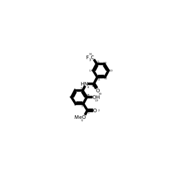 COC(=O)c1cccc(NC(=O)c2cccc(C(F)(F)F)c2)c1O